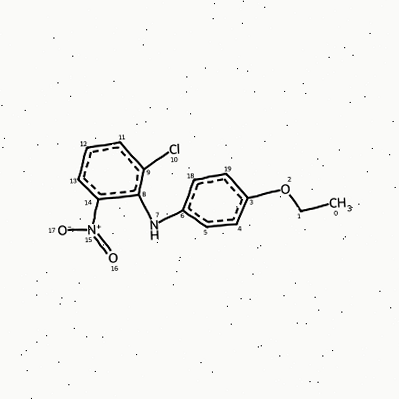 CCOc1ccc(Nc2c(Cl)cccc2[N+](=O)[O-])cc1